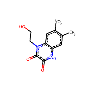 O=c1[nH]c2cc(C(F)(F)F)c([N+](=O)[O-])cc2n(CCO)c1=O